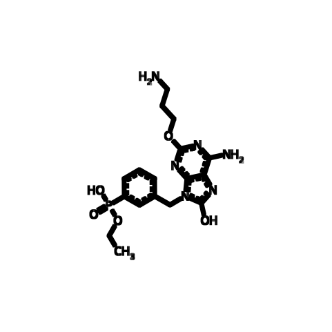 CCOP(=O)(O)c1cccc(Cn2c(O)nc3c(N)nc(OCCCN)nc32)c1